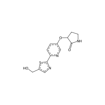 O=C1NCCC1Oc1ccc(-c2ncc(CO)s2)nc1